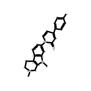 Cc1ccc(-c2ccn(-c3ccc4c5c(n(C)c4c3)CN(C)CC5)c(=O)c2)cc1